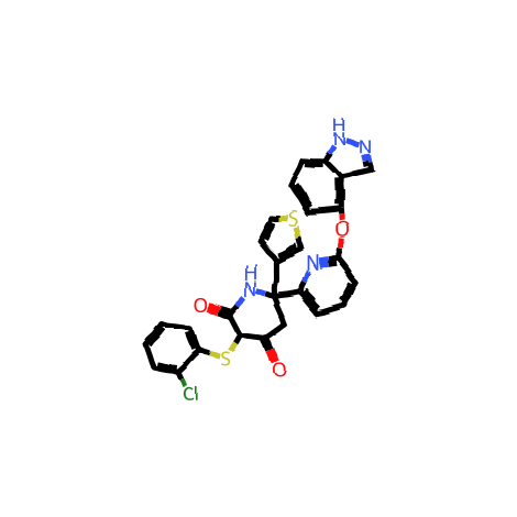 O=C1CC(c2ccsc2)(c2cccc(Oc3cccc4[nH]ncc34)n2)NC(=O)C1Sc1ccccc1Cl